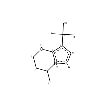 CC1CCOc2c(C(C)(C)C)cnn21